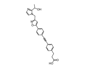 CC(O)c1nccn1Cc1cc(-c2ccc(C#Cc3ccc(CCC(=O)O)cc3)cc2)on1